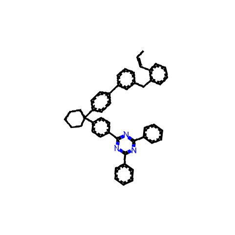 C/C=C\c1ccccc1Cc1cccc(-c2ccc(C3(c4ccc(-c5nc(-c6ccccc6)nc(-c6ccccc6)n5)cc4)CCCCC3)cc2)c1